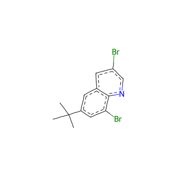 CC(C)(C)c1cc(Br)c2ncc(Br)cc2c1